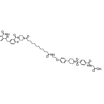 O=C(O)CNC(=O)c1ccc(S(=O)(=O)N2CCC(c3ccc(OCCNC(=O)CCCCCCCCCCC(=O)N4CCN(C(=O)c5cc(Cc6n[nH]c(=O)c7ccccc67)ccc5F)CC4)cc3)CC2)cc1